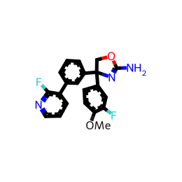 COc1ccc(C2(c3cccc(-c4cccnc4F)c3)COC(N)=N2)cc1F